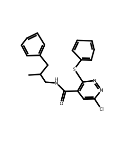 CC(CNC(=O)c1cc(Cl)nnc1Sc1ccccc1)Cc1ccccc1